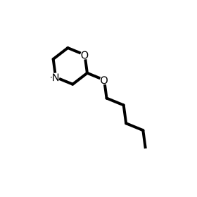 CCCCCOC1C[N]CCO1